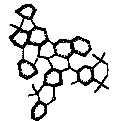 Cc1cc2c(cc1N1c3cc4c(cc3B3c5c(cc6ccccc6c51)-c1cc5c(cc1N3c1ccccc1-c1ccccc1)C(C)(C)c1ccccc1-5)C(C)(C)c1ccccc1O4)C(C)(C)CCC2(C)C